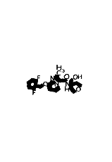 Cc1nc2c(OCc3c(F)cccc3F)cccn2c1C(=O)NC1(CO)CCOCC1